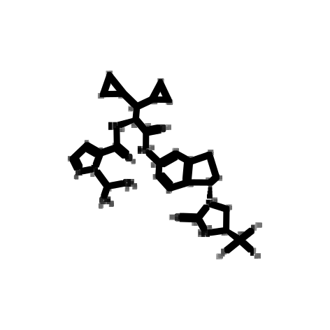 CC(C)n1nccc1C(=O)N[C@H](C(=O)Nc1ccc2c(c1)CC[C@@H]2N1C[C@@H](C(F)(F)F)NC1=O)C(C1CC1)C1CC1